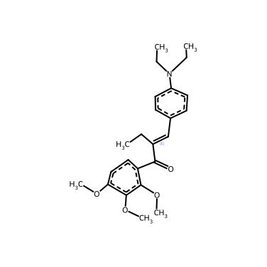 CC/C(=C\c1ccc(N(CC)CC)cc1)C(=O)c1ccc(OC)c(OC)c1OC